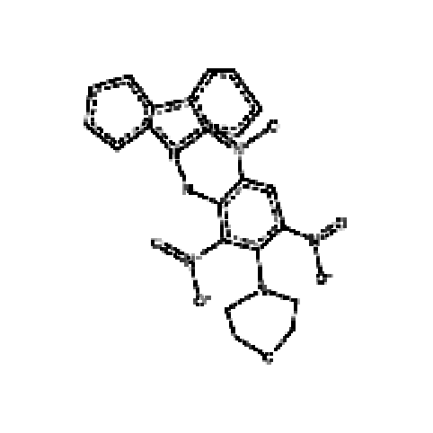 O=[N+]([O-])c1cc([N+](=O)[O-])c(N2CCOCC2)c([N+](=O)[O-])c1[N]n1c2ccccc2c2ccccc21